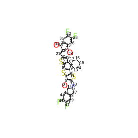 O=C1/C(=C\c2cc3sc4c(c3s2)C2(CCCCC2)c2cc(C=C3C(=O)c5cc(F)c(F)cc5C3=O)sc2-4)Cc2cc(F)c(F)cc21